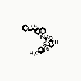 Cc1ccc(S(=O)(=O)N2CCNC(=O)[C@H]2CC(=O)N[C@@H]2CCCc3cc([C@H](C)CN4CCCCC4)ccc32)cc1